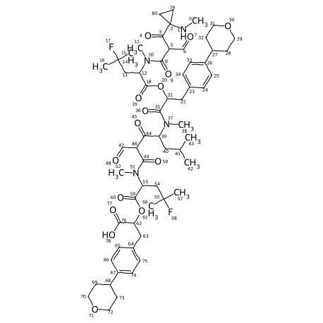 CNC1(C(=O)C(C=O)C(=O)N(C)C(CC(C)(C)F)C(=O)OC(Cc2ccc(C3CCOCC3)cc2)C(=O)N(C)C(CC(C)C)C(=O)C(C=O)C(=O)N(C)C(CC(C)(C)F)C(=O)OC(Cc2ccc(C3CCOCC3)cc2)C(=O)O)CC1